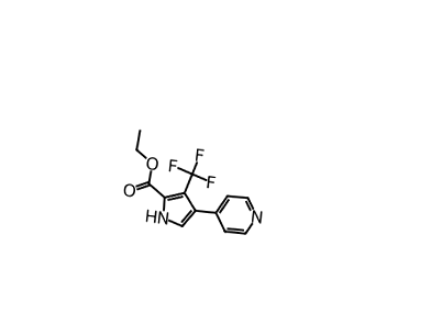 CCOC(=O)c1[nH]cc(-c2ccncc2)c1C(F)(F)F